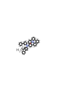 CC1(C)c2ccccc2-c2ccc(N(c3ccc(-c4ccccc4-n4c5ccccc5c5cccc(-c6ccccc6)c54)cc3)c3cccc(-c4ccccc4)c3)cc21